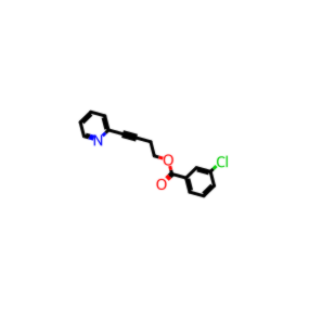 O=C(OCCC#Cc1ccccn1)c1cccc(Cl)c1